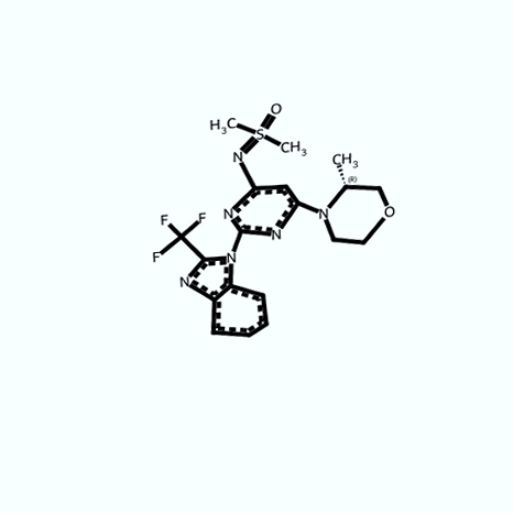 C[C@@H]1COCCN1c1cc(N=S(C)(C)=O)nc(-n2c(C(F)(F)F)nc3ccccc32)n1